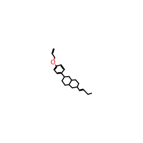 C=CCOc1ccc(C2CCC3CC(/C=C/CC)CCC3C2)cc1